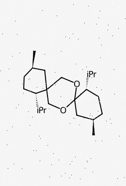 CC(C)[C@@H]1CC[C@@H](C)CC12COC1(C[C@H](C)CC[C@H]1C(C)C)OC2